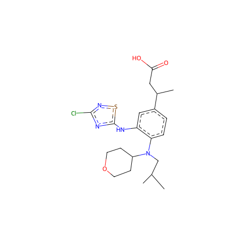 CC(C)CN(c1ccc(C(C)CC(=O)O)cc1Nc1nc(Cl)ns1)C1CCOCC1